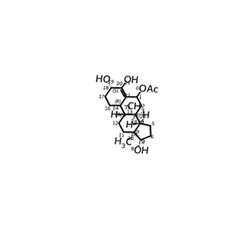 CC(=O)OC1C[C@H]2[C@@H]3CC[C@H](O)[C@@]3(C)CC[C@@H]2[C@@]2(C)CC[C@H](O)C(O)=C12